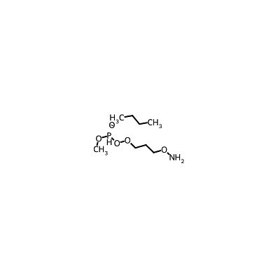 CCCC.CO[PH](=O)OOCCCON